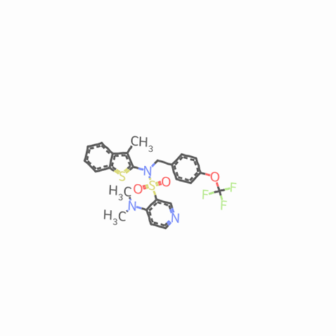 Cc1c(N(Cc2ccc(OC(F)(F)F)cc2)S(=O)(=O)c2cnccc2N(C)C)sc2ccccc12